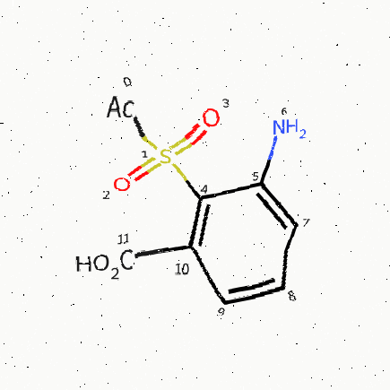 CC(=O)S(=O)(=O)c1c(N)cccc1C(=O)O